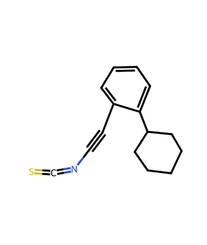 S=C=NC#Cc1ccccc1C1CCCCC1